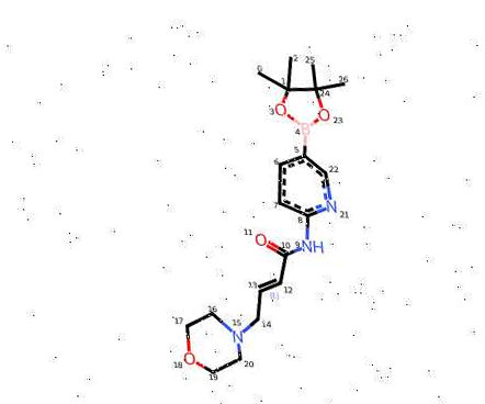 CC1(C)OB(c2ccc(NC(=O)/C=C/CN3CCOCC3)nc2)OC1(C)C